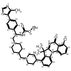 Cc1ncsc1-c1ccc([C@H](CN2CCC(CN3CCC(c4cccc5c4C(C)(C)c4nc(=O)c6c(Cl)cccc6n4-5)CC3)CC2)NC(=O)OC(C)(C)C)cc1